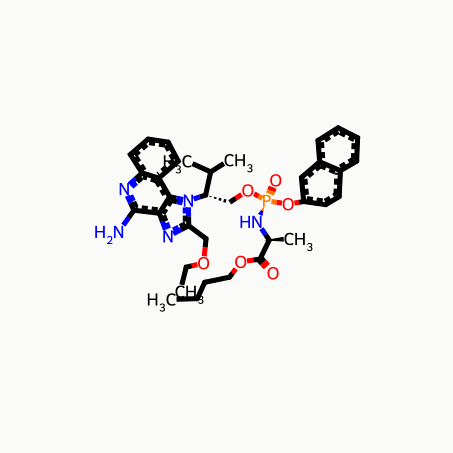 CCCCOC(=O)[C@H](C)N[P@](=O)(OC[C@@H](C(C)C)n1c(COCC)nc2c(N)nc3ccccc3c21)Oc1ccc2ccccc2c1